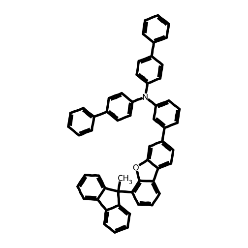 CC1(c2cccc3c2oc2cc(-c4cccc(N(c5ccc(-c6ccccc6)cc5)c5ccc(-c6ccccc6)cc5)c4)ccc23)c2ccccc2-c2ccccc21